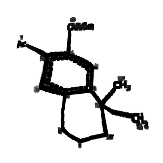 COc1cc2c(cc1C(C)=O)CCCC2(C)C